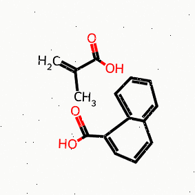 C=C(C)C(=O)O.O=C(O)c1cccc2ccccc12